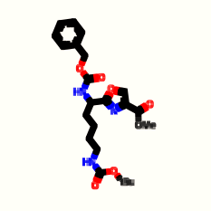 COC(=O)c1coc(C(CCCCNC(=O)OC(C)(C)C)NC(=O)OCc2ccccc2)n1